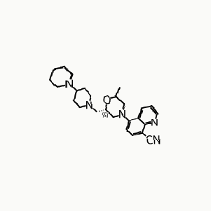 CC1CN(c2ccc(C#N)c3ncccc23)C[C@H](CN2CCC(N3CCCCC3)CC2)O1